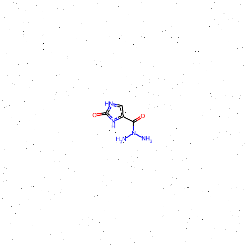 NN(N)C(=O)c1c[nH]c(=O)[nH]1